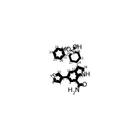 NC(=O)c1cc(-c2ccsc2)cc2c([C@H]3CCS(O)(O)[C@@H](c4ccccc4)C3)c[nH]c12